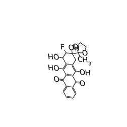 CC1(C2(O)Cc3c(O)c4c(c(O)c3C(O)C2F)C(=O)c2ccccc2C4=O)OCCO1